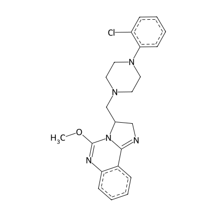 COC1=Nc2ccccc2C2=NCC(CN3CCN(c4ccccc4Cl)CC3)N12